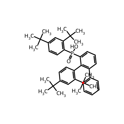 CC(C)(C)c1ccc(-c2c(-c3ccccc3)cccc2P(=O)(O)c2ccc(C(C)(C)C)cc2C(C)(C)C)c(C(C)(C)C)c1